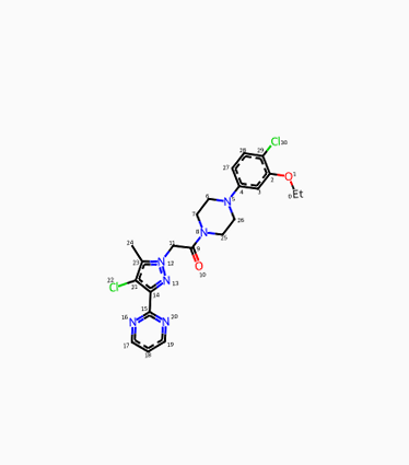 CCOc1cc(N2CCN(C(=O)Cn3nc(-c4ncccn4)c(Cl)c3C)CC2)ccc1Cl